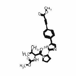 COC(=O)C#Cc1ccc(-c2cnc([C@@H]3CCCN3C(=O)[C@@H](NC(=O)OC)C(C)C)[nH]2)cc1